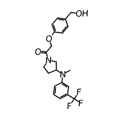 CN(c1cccc(C(F)(F)F)c1)C1CCN(C(=O)COc2ccc(CO)cc2)C1